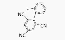 Cc1ccccc1-c1c(C#N)cc(C#N)cc1C#N